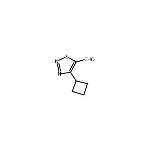 O=Cc1snnc1C1CCC1